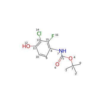 CC(C)(C)OC(=O)Nc1ccc(O)c(Cl)c1F